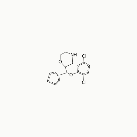 Clc1ccc(Cl)c(OC(c2ccccc2)C2CNCCO2)c1